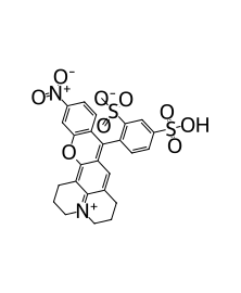 O=[N+]([O-])c1ccc2c(c1)Oc1c3c4c(cc1=C2c1ccc(S(=O)(=O)O)cc1S(=O)(=O)[O-])CCC[N+]=4CCC3